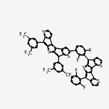 Fc1cccc(F)c1C1=c2sc3c(c2-c2sccc21)-c1sccc1C=3c1c(F)ccc(-c2cc3c(s2)C(c2cc(C(F)(F)F)cc(C(F)(F)F)c2)=c2sc4c(c2-3)-c2ccsc2C=4c2cc(C(F)(F)F)cc(C(F)(F)F)c2)c1F